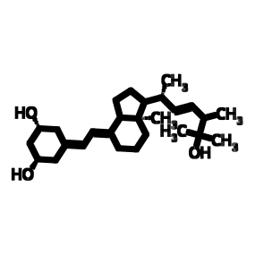 CC(/C=C/[C@@H](C)C1CCC2/C(=C/C=C3C[C@@H](O)C[C@H](O)C3)CCC[C@@]21C)C(C)(C)O